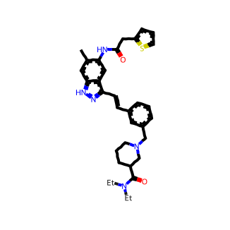 CCN(CC)C(=O)C1CCCN(Cc2cccc(/C=C/c3n[nH]c4cc(C)c(NC(=O)Cc5cccs5)cc34)c2)C1